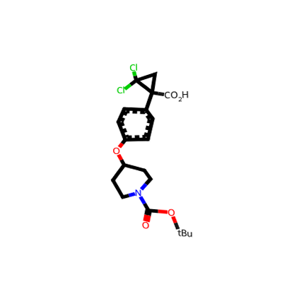 CC(C)(C)OC(=O)N1CCC(Oc2ccc(C3(C(=O)O)CC3(Cl)Cl)cc2)CC1